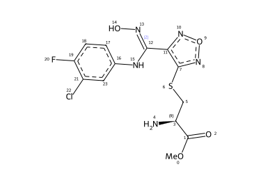 COC(=O)[C@@H](N)CSc1nonc1/C(=N/O)Nc1ccc(F)c(Cl)c1